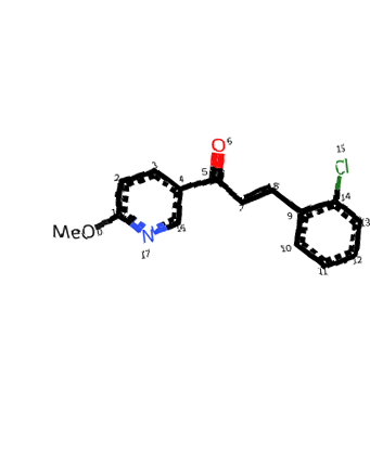 COc1ccc(C(=O)C=Cc2ccccc2Cl)cn1